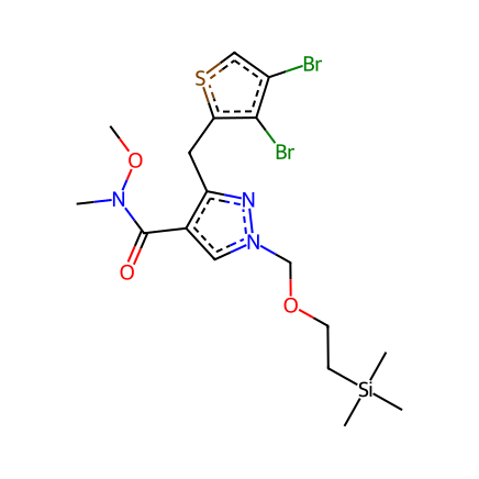 CON(C)C(=O)c1cn(COCC[Si](C)(C)C)nc1Cc1scc(Br)c1Br